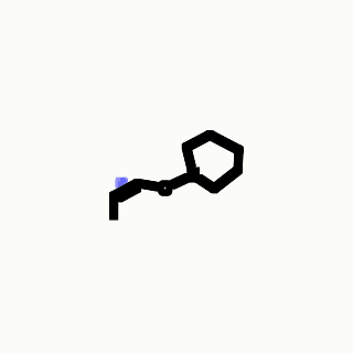 C/C=C\ON1CCCCC1